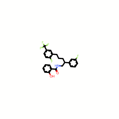 O=C(NCC(CCCc1cc(C(F)(F)F)ccc1F)c1cccc(F)c1)c1ccccc1O